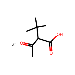 CC(=O)C(C(=O)O)C(C)(C)C.[Zr]